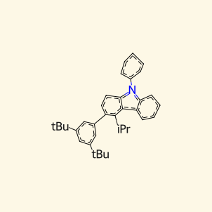 CC(C)c1c(-c2cc(C(C)(C)C)cc(C(C)(C)C)c2)ccc2c1c1ccccc1n2-c1ccccc1